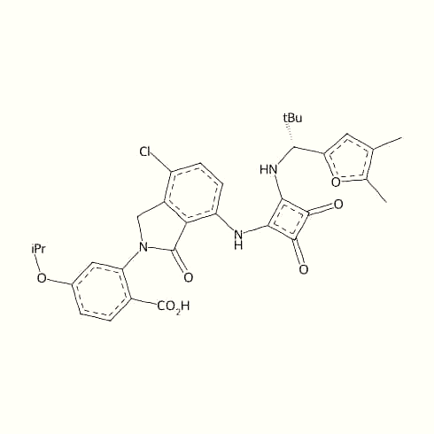 Cc1cc([C@H](Nc2c(Nc3ccc(Cl)c4c3C(=O)N(c3cc(OC(C)C)ccc3C(=O)O)C4)c(=O)c2=O)C(C)(C)C)oc1C